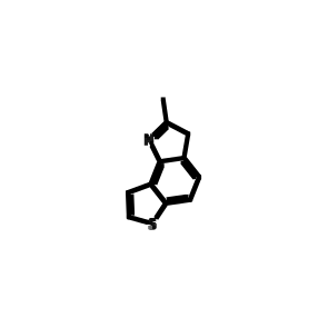 CC1=Nc2c(ccc3sccc23)C1